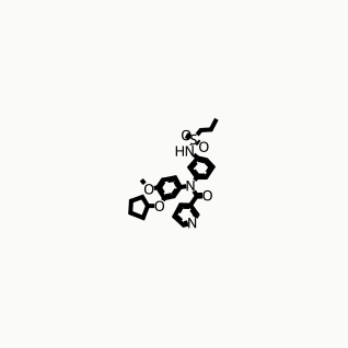 CCCS(=O)(=O)Nc1cccc(N(C(=O)c2cccnc2)c2ccc(OC)c(OC3CCCC3)c2)c1